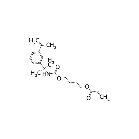 C=CC(=O)OCCCCOC(=O)NC(C)(C)c1cccc(C(=C)C)c1